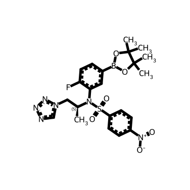 C[C@@H](Cn1cnnn1)N(c1cc(B2OC(C)(C)C(C)(C)O2)ccc1F)S(=O)(=O)c1ccc([N+](=O)[O-])cc1